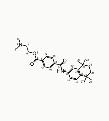 CN(C)CCOC(=O)c1ccc(C(=O)Nc2ccc3c(c2)C(C)(C)CCC3(C)C)cc1